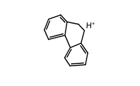 [H+].c1ccc2c(c1)CCc1ccccc1-2